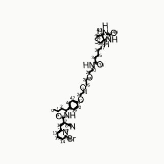 CCCC(NC(=O)/C(C#N)=C/c1cccc(Br)n1)c1ccc(OCCOCCOCCNC(=O)CCCC[C@@H]2SC[C@@H]3NC(=O)N[C@@H]32)cc1